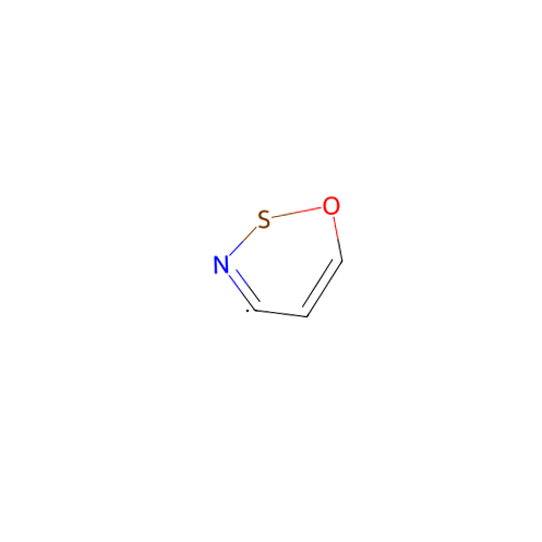 [C]1=NSOC=C1